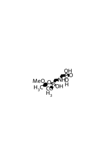 COC(C)(C)OP(=O)(O)CNCP(=O)(O)O